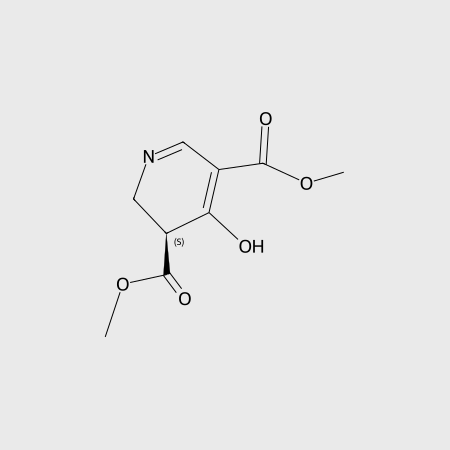 COC(=O)C1=C(O)[C@@H](C(=O)OC)CN=C1